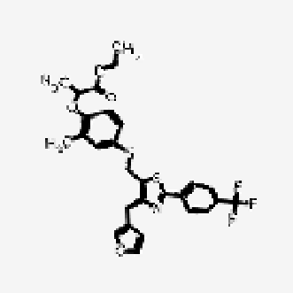 CCOC(=O)C(C)Oc1ccc(SCc2sc(-c3ccc(C(F)(F)F)cc3)nc2Cc2ccoc2)cc1C